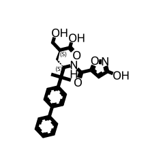 CC(C)(c1ccc(-c2ccccc2)cc1)[C@H](C[C@@H](CO)C(=O)O)NC(=O)c1cc(O)no1